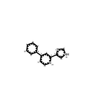 [c]1nc(-c2cc(-c3ccccc3)ccn2)c[nH]1